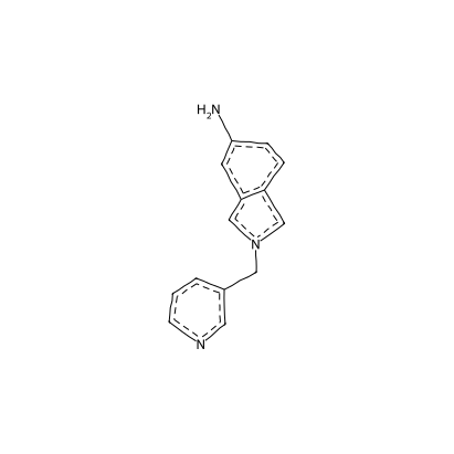 Nc1ccc2cn(Cc3cccnc3)cc2c1